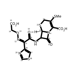 CSC1=C(C(=O)O)N2C(=O)C(NC(=O)/C(=N\OCC(=O)O)c3cscn3)[C@H]2SC1